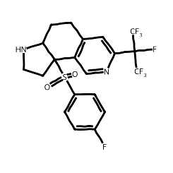 O=S(=O)(c1ccc(F)cc1)C12CCNC1CCc1cc(C(F)(C(F)(F)F)C(F)(F)F)ncc12